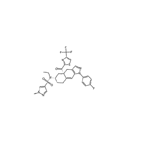 CCN([C@H]1CCC2=Cc3c(cnn3-c3ccc(F)cc3)C[C@]2(C(=O)c2nc(C(F)(F)F)cs2)C1)S(=O)(=O)c1cnn(C)c1